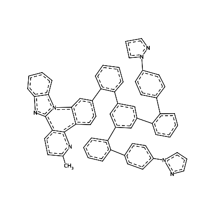 Cc1ccc2c(n1)c1ccc(-c3ccccc3-c3cc(-c4ccccc4-c4ccc(-n5cccn5)cc4)cc(-c4ccccc4-c4ccc(-n5cccn5)cc4)c3)cc1n1c3ccccc3nc21